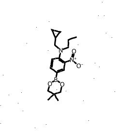 CCCN(CC1CC1)c1ccc(B2OCC(C)(C)CO2)cc1[N+](=O)[O-]